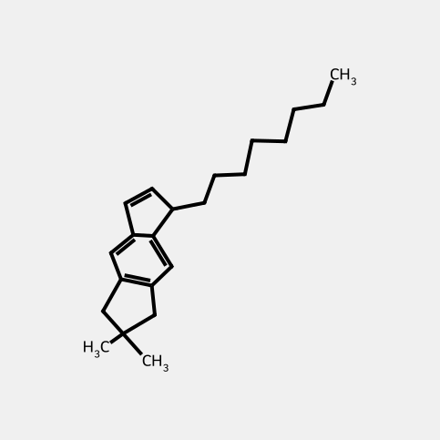 CCCCCCCC[C]1C=Cc2cc3c(cc21)CC(C)(C)C3